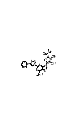 CNC(=O)[C@H]1O[C@@H](n2cnc3c(NC)nc(-n4cc(-c5ccccn5)nn4)nc32)[C@H](O)[C@@H]1O